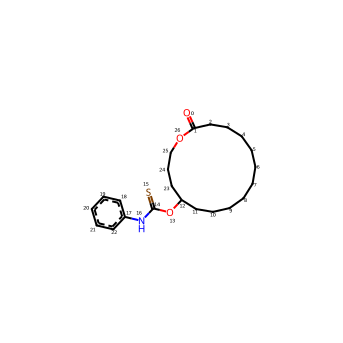 O=C1CCCCCCCCCCC(OC(=S)Nc2ccccc2)CCCO1